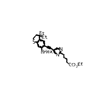 CCCCCCc1cc2c(cc1C#Cc1cnc(CCCCC(=O)OCC)nc1)C(CC)(CC)CCS2